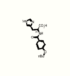 CCCCOc1ccc(C(=O)N[C@@H](Cc2c[nH]cn2)C(=O)O)cc1